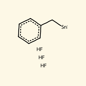 F.F.F.[Sn][CH2]c1ccccc1